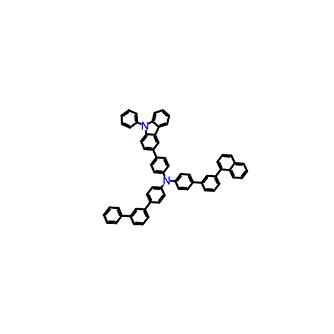 c1ccc(-c2cccc(-c3ccc(N(c4ccc(-c5cccc(-c6cccc7ccccc67)c5)cc4)c4ccc(-c5ccc6c(c5)c5ccccc5n6-c5ccccc5)cc4)cc3)c2)cc1